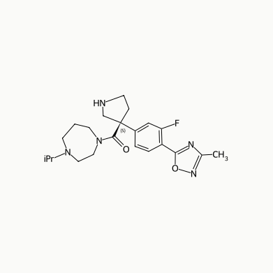 Cc1noc(-c2ccc([C@@]3(C(=O)N4CCCN(C(C)C)CC4)CCNC3)cc2F)n1